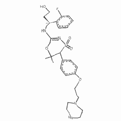 CC1(C)OC(N[C@@H](CCO)c2ccccc2F)=NS(=O)(=O)C1c1ccc(OCCN2CCNCC2)cc1